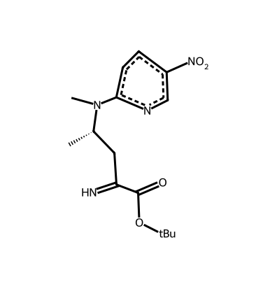 C[C@@H](CC(=N)C(=O)OC(C)(C)C)N(C)c1ccc([N+](=O)[O-])cn1